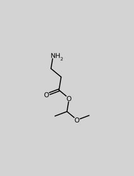 COC(C)OC(=O)CCN